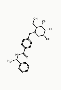 C[C@@H](NC(=O)c1ccc(CN2C[C@H](O)[C@@H](O)[C@@H](O)[C@@H]2CO)cc1)c1ccccc1